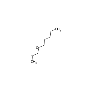 C[CH][CH2][Cr][CH2]CCCC